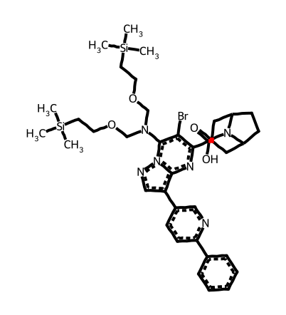 C[Si](C)(C)CCOCN(COCC[Si](C)(C)C)c1c(Br)c(C2CC3CCC(C2)N3C(=O)O)nc2c(-c3ccc(-c4ccccc4)nc3)cnn12